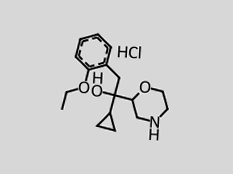 CCOc1ccccc1CC(O)(C1CC1)C1CNCCO1.Cl